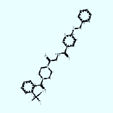 O=C(NCC(=O)N1CCN(C(=O)c2ccccc2C(F)(F)F)CC1)c1ccc(OCc2ccccc2)nc1